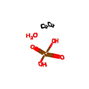 O.O=S(=O)(O)O.[Cu].[Cu]